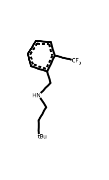 CC(C)(C)CCNCc1ccccc1C(F)(F)F